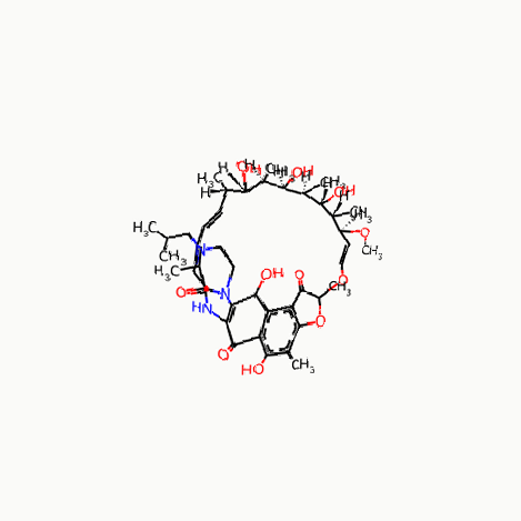 CO[C@H]1/C=C/O[C@@]2(C)Oc3c(C)c(O)c4c(c3C2=O)C(O)C(N2CCN(CC(C)C)CC2)=C(NC(=O)/C(C)=C\C=C\[C@H](C)[C@H](O)[C@@H](C)[C@@H](O)[C@@H](C)[C@H](O)[C@@H]1C)C4=O